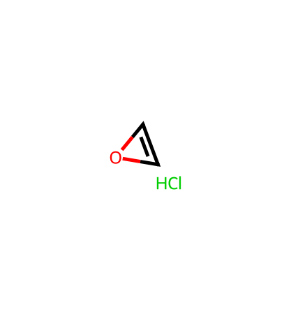 C1=CO1.Cl